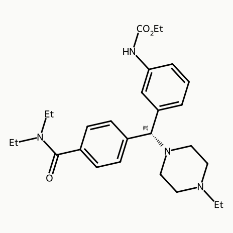 CCOC(=O)Nc1cccc([C@@H](c2ccc(C(=O)N(CC)CC)cc2)N2CCN(CC)CC2)c1